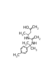 C=C(O)CC(C)NC(=C)NC(C)(C)c1ccc(C)cc1